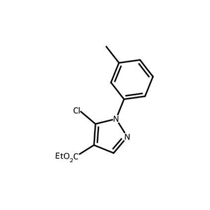 CCOC(=O)c1cnn(-c2cccc(C)c2)c1Cl